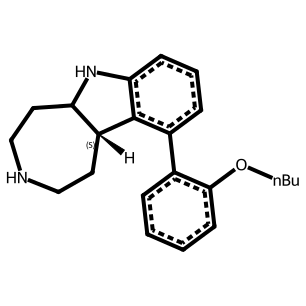 CCCCOc1ccccc1-c1cccc2c1[C@@H]1CCNCCC1N2